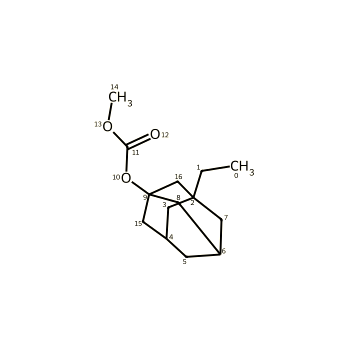 CCC12CC3CC(C1)CC(OC(=O)OC)(C3)C2